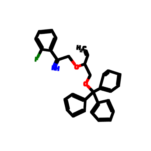 C=CC(COC(c1ccccc1)(c1ccccc1)c1ccccc1)OCC(=N)c1ccccc1F